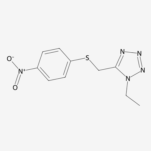 CCn1nnnc1CSc1ccc([N+](=O)[O-])cc1